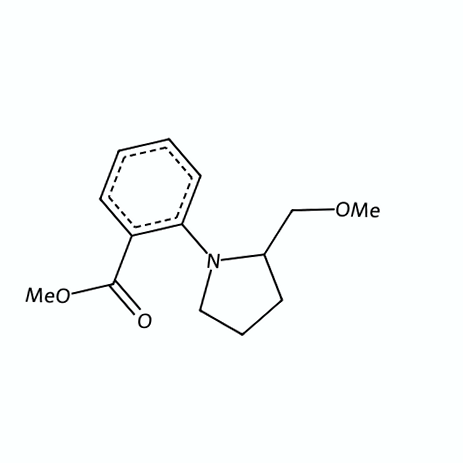 COCC1CCCN1c1ccccc1C(=O)OC